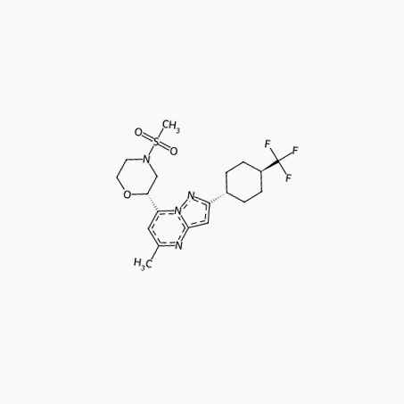 Cc1cc([C@H]2CN(S(C)(=O)=O)CCO2)n2nc([C@H]3CC[C@H](C(F)(F)F)CC3)cc2n1